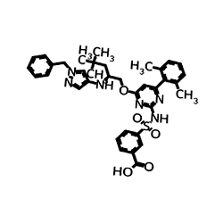 Cc1cccc(C)c1-c1cc(OCC(CC(C)(C)C)Nc2cnn(Cc3ccccc3)c2)nc(NS(=O)(=O)c2cccc(C(=O)O)c2)n1